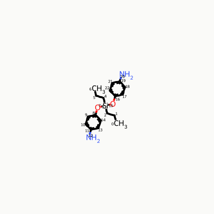 CCC[Si](CCC)(Oc1ccc(N)cc1)Oc1ccc(N)cc1